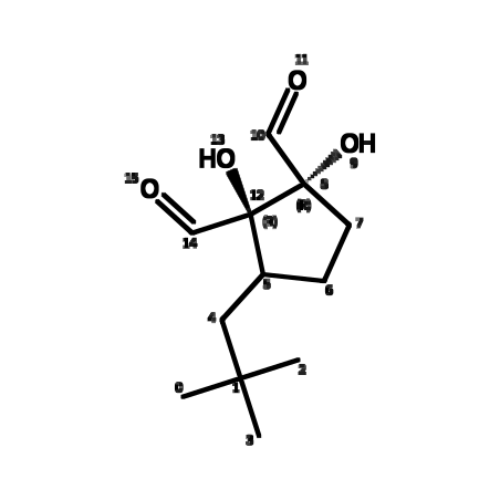 CC(C)(C)CC1CC[C@](O)(C=O)[C@@]1(O)C=O